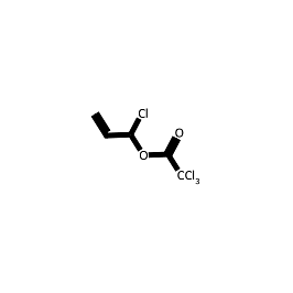 C=CC(Cl)OC(=O)C(Cl)(Cl)Cl